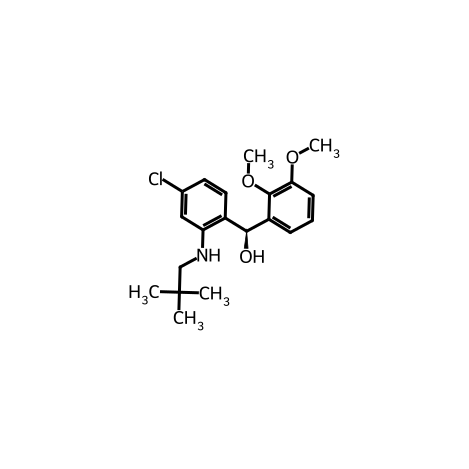 COc1cccc([C@@H](O)c2ccc(Cl)cc2NCC(C)(C)C)c1OC